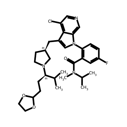 CC(C)[C@@H](CCC1OCCO1)N1CC[C@@H](Cc2cn(-c3ccc(F)cc3C(=O)N(C)C(C)C)c3cncc(Cl)c23)C1